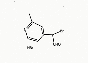 Br.Cc1cc(C(Br)C=O)ccn1